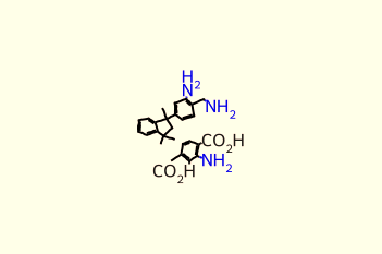 CC1(C)CC(C)(c2ccc(CN)c(N)c2)c2ccccc21.Cc1ccc(C(=O)O)c(N)c1C(=O)O